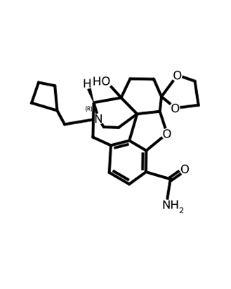 NC(=O)c1ccc2c3c1OC1C4(CCC5(O)[C@@H](C2)N(CC2CCC2)CCC315)OCCO4